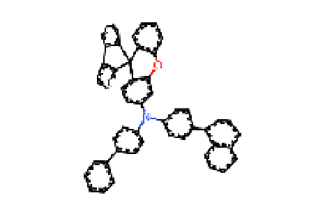 c1ccc(-c2ccc(N(c3ccc(-c4cccc5ccccc45)cc3)c3ccc4c(c3)Oc3ccccc3C43c4ccccc4-c4ccccc43)cc2)cc1